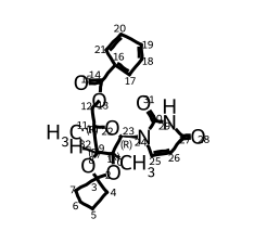 C[C@@]12OC3(CCCC3)O[C@@H]1[C@@](C)(COC(=O)c1ccccc1)O[C@H]2n1ccc(=O)[nH]c1=O